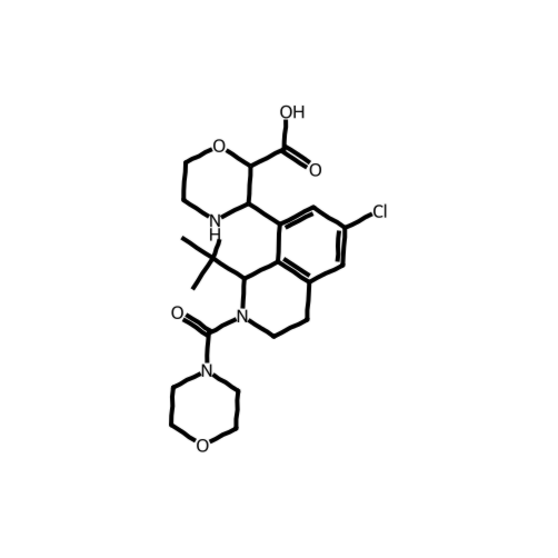 CC(C)(C)C1c2c(cc(Cl)cc2C2NCCOC2C(=O)O)CCN1C(=O)N1CCOCC1